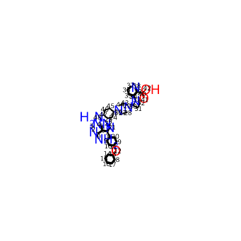 Nc1ncnc2c1c(-c1ccc(Oc3ccccc3)cc1)nn2C1CC(N2CCN(C3CCN3c3cccnc3C(=O)O)CC2)CCC1N